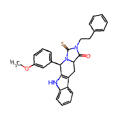 COc1cccc(C2c3[nH]c4ccccc4c3CC3C(=O)N(CCc4ccccc4)C(=S)N32)c1